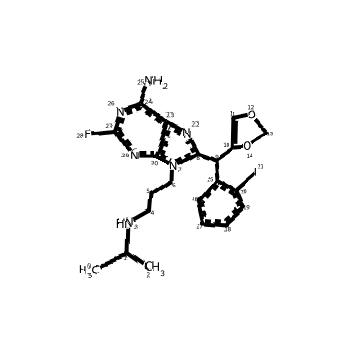 CC(C)NCCCn1c(C(C2=COCO2)c2ccccc2I)nc2c(N)nc(F)nc21